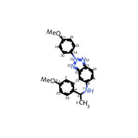 COc1ccc(C(C)Nc2ccc3nn(-c4ccc(OC)cc4)nc3c2)cc1